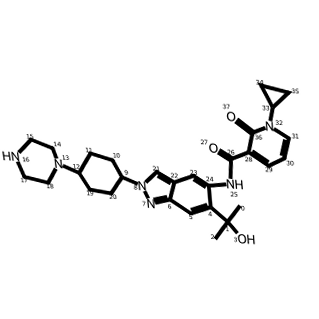 CC(C)(O)c1cc2nn(C3CCC(N4CCNCC4)CC3)cc2cc1NC(=O)c1cccn(C2CC2)c1=O